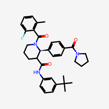 Cc1cccc(F)c1C(=O)N1CCCC(C(=O)Nc2cccc(C(C)(C)C)c2)[C@@H]1c1ccc(C(=O)N2CCCC2)cc1